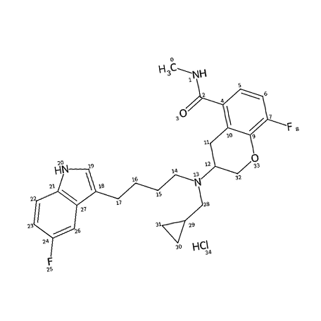 CNC(=O)c1ccc(F)c2c1CC(N(CCCCc1c[nH]c3ccc(F)cc13)CC1CC1)CO2.Cl